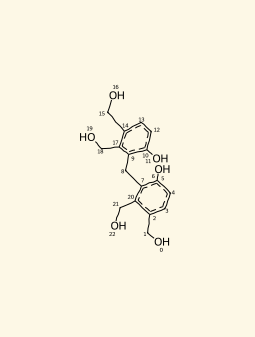 OCc1ccc(O)c(Cc2c(O)ccc(CO)c2CO)c1CO